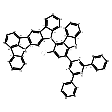 FC(F)(F)c1cc(-c2nc(-c3ccccc3)nc(-c3ccccc3)n2)c2oc3ccccc3c2c1-n1c2ccccc2c2cc3c4cccc5c6ccccc6n(c3cc21)c54